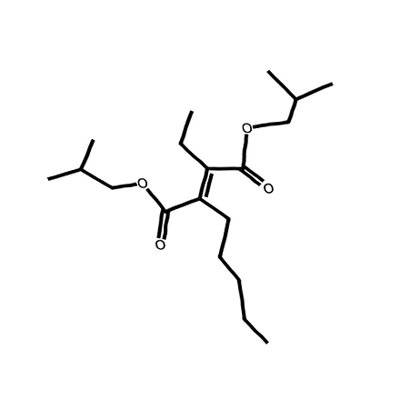 CCCCCC(C(=O)OCC(C)C)=C(CC)C(=O)OCC(C)C